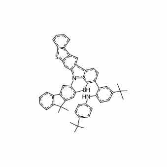 CC(C)(C)c1ccc(Nc2ccc(C(C)(C)C)cc2-c2ccc3c4cc5c(cc4n4c3c2Bc2cc3c(cc2-4)-c2ccccc2C3(C)C)sc2ccccc25)cc1